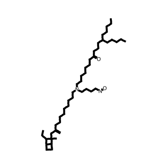 C=C(CCCCCCCCCN(CCCCCCCC(=O)CCCC(CCCCC)CCCCC)CCCCN=O)CC1(C)C(CC)C2CCC21